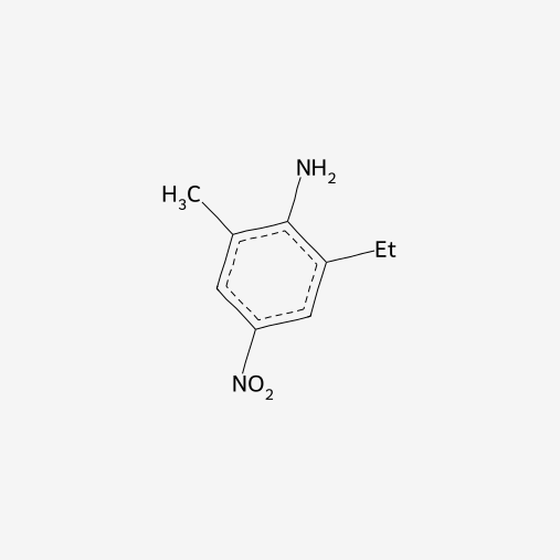 CCc1cc([N+](=O)[O-])cc(C)c1N